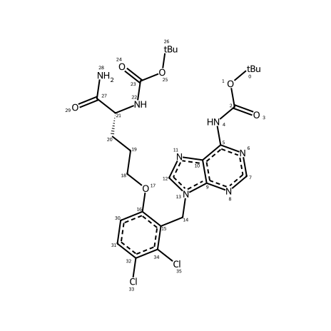 CC(C)(C)OC(=O)Nc1ncnc2c1ncn2Cc1c(OCCC[C@@H](NC(=O)OC(C)(C)C)C(N)=O)ccc(Cl)c1Cl